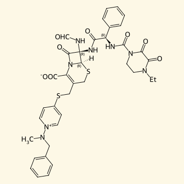 CCN1CCN(C(=O)N[C@@H](C(=O)N[C@]2(NC=O)C(=O)N3C(C(=O)[O-])=C(CSc4cc[n+](N(C)Cc5ccccc5)cc4)CS[C@@H]32)c2ccccc2)C(=O)C1=O